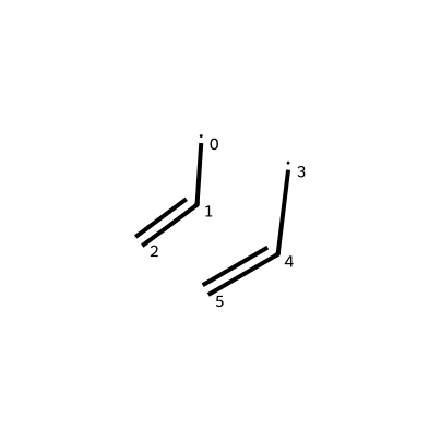 [CH2]C=C.[CH2]C=C